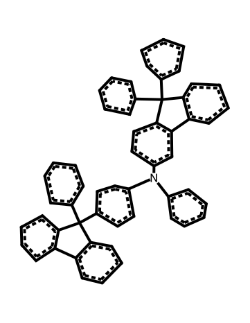 c1ccc(N(c2ccc(C3(c4ccccc4)c4ccccc4-c4ccccc43)cc2)c2ccc3c(c2)-c2ccccc2C3(c2ccccc2)c2ccccc2)cc1